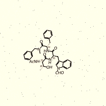 CC(=O)N[C@H](C(=O)N[C@H](Cc1cn(C=O)c2ccccc12)C(=O)N[C@@H](Cc1ccccc1)C(=O)N(C)Cc1ccccc1)[C@@H](C)O